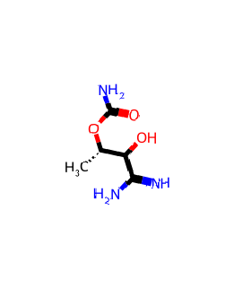 C[C@H](OC(N)=O)C(O)C(=N)N